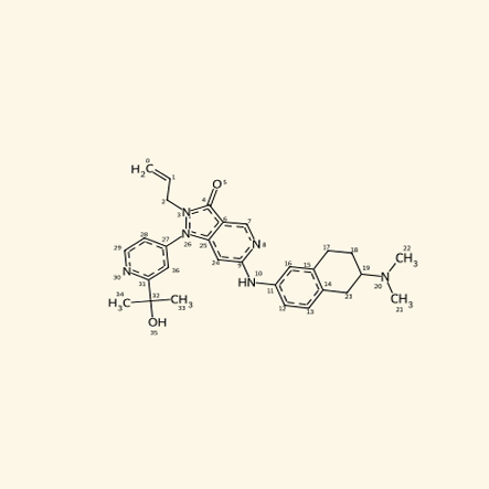 C=CCn1c(=O)c2cnc(Nc3ccc4c(c3)CCC(N(C)C)C4)cc2n1-c1ccnc(C(C)(C)O)c1